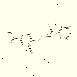 COC(=O)c1ccn(CCNC(=O)c2cccnc2)c(=O)c1